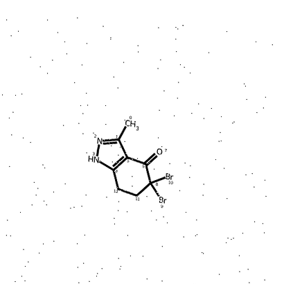 Cc1n[nH]c2c1C(=O)C(Br)(Br)CC2